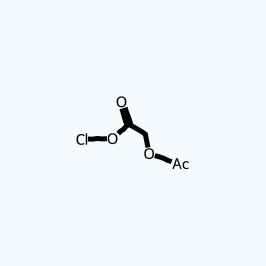 CC(=O)OCC(=O)OCl